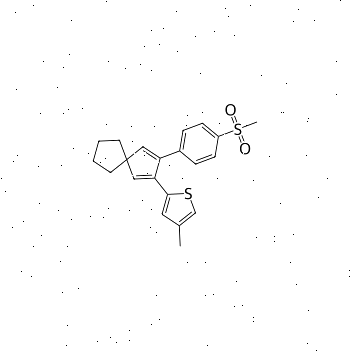 Cc1csc(C2=CC3(C=C2c2ccc(S(C)(=O)=O)cc2)CCCC3)c1